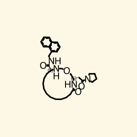 O=C1CCCCCCCCCC[C@@H](C(=O)NCc2cccc3ccccc23)NCOC[C@H](CC(=O)N2CCCC2)N1